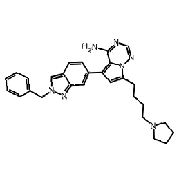 Nc1ncnn2c(CCCCN3CCCC3)cc(-c3ccc4cn(Cc5ccccc5)nc4c3)c12